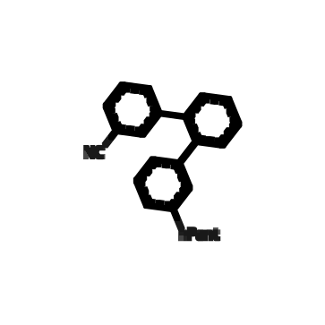 CCCCCc1cccc(-c2ccccc2-c2cccc(C#N)c2)c1